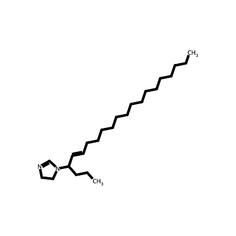 CCCCCCCCCCCCCCCC=CC(CCC)N1C=NCC1